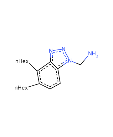 CCCCCCc1ccc2c(nnn2CN)c1CCCCCC